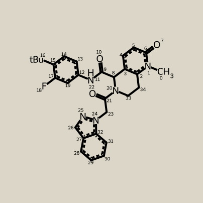 Cn1c2c(ccc1=O)C(C(=O)Nc1ccc(C(C)(C)C)c(F)c1)N(C(=O)Cn1ncc3ccccc31)CC2